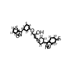 O[C@@H](COc1cccc(-c2noc3ccsc23)c1)CN1CCC(c2noc3cc(F)ccc23)CC1